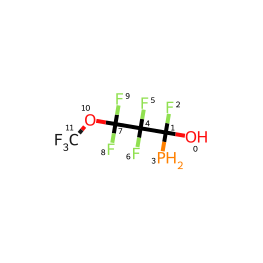 OC(F)(P)C(F)(F)C(F)(F)OC(F)(F)F